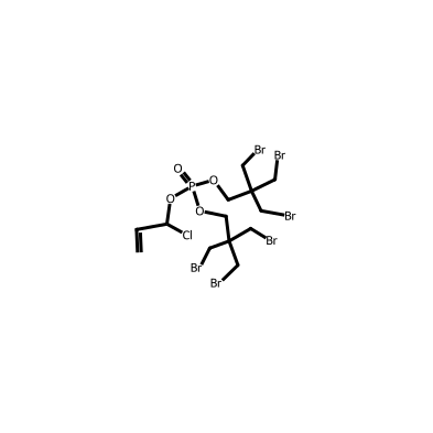 C=CC(Cl)OP(=O)(OCC(CBr)(CBr)CBr)OCC(CBr)(CBr)CBr